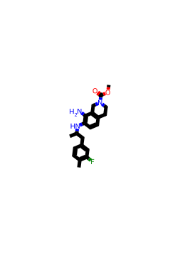 COC(=O)N1CCc2ccc(NC(C)Cc3ccc(C)c(F)c3)c(N)c2C1